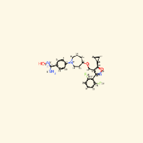 N/C(=N\O)c1ccc(N2CCCC(OCc3c(-c4c(F)cccc4F)noc3C3CC3)CC2)cc1